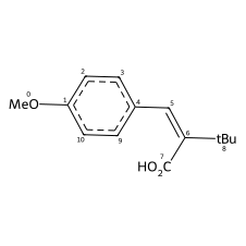 COc1ccc(/C=C(\C(=O)O)C(C)(C)C)cc1